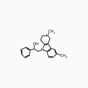 Cc1ccc2c(c1)c1c(n2CC(O)c2ccccc2)CCN(C)C1